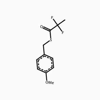 COc1ccc(CSC(=O)C(C)(F)F)cc1